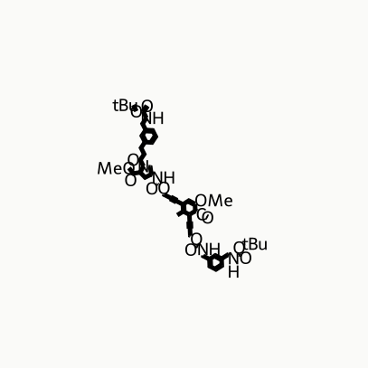 COC(=O)C1CC(NC(=O)OCC#CC2=C(C)C(C#CCOC(=O)NCc3cccc(CNC(=O)OC(C)(C)C)c3)C(=C=O)C(OC)=C2)CN1C(=O)CCc1cccc(CNC(=O)OC(C)(C)C)c1